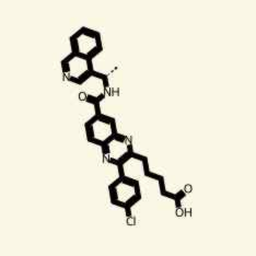 C[C@H](NC(=O)c1ccc2nc(-c3ccc(Cl)cc3)c(CCCCC(=O)O)nc2c1)c1cncc2ccccc12